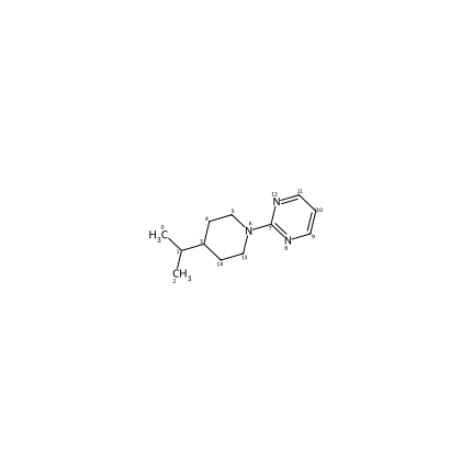 CC(C)C1CCN(c2nc[c]cn2)CC1